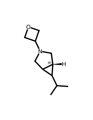 CC(C)C1C2CN(C3COC3)C[C@@H]21